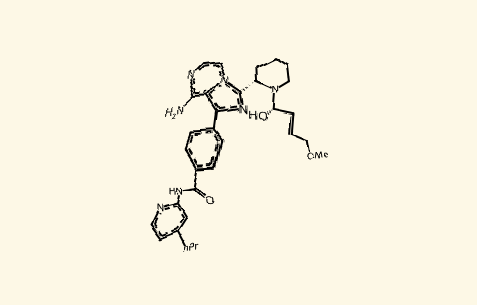 CCCc1ccnc(NC(=O)c2ccc(-c3nc([C@@H]4CCCCN4[C@@H](O)/C=C/COC)n4ccnc(N)c34)cc2)c1